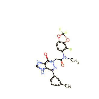 CN(C(=O)Cn1nc(-c2cccc(C#N)c2)c2[nH]cnc2c1=O)c1ccc2c(c1F)OC(F)(F)O2